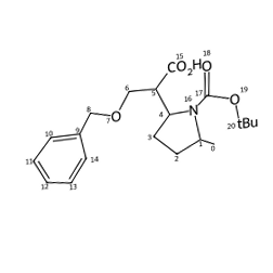 CC1CCC(C(COCc2ccccc2)C(=O)O)N1C(=O)OC(C)(C)C